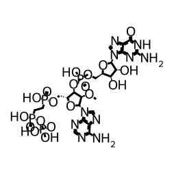 CO[C@@H]1[C@H](OP(=O)(O)OC[C@H]2O[C@@H](n3cnc4c(=O)[nH]c(N)nc43)[C@H](O)[C@@H]2O)[C@@H](COP(=O)(O)CCP(=O)(O)OP(=O)(O)O)O[C@H]1n1cnc2c(N)ncnc21